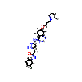 [CH2][C@@H]1CCCN1CCCOc1ccc2c(Nc3cc(CC(=O)Nc4cccc(F)c4)[nH]n3)ncnc2c1